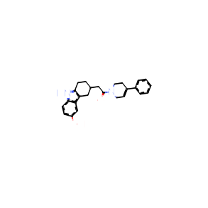 O=C(CC1CCc2[nH]c3ccc(O)cc3c2C1)N1CC=C(c2ccccc2)CC1